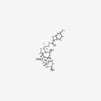 C[C@H](CCC(=O)N1Cc2cc(F)ccc21)[C@H]1CC[C@H]2[C@@H]3[C@H](O)C[C@@H]4C[C@H](O)CC[C@]4(C)[C@H]3C[C@H](O)[C@]12C